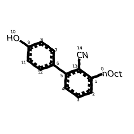 CCCCCCCCc1cccc(-c2ccc(O)cc2)c1C#N